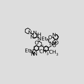 CC[C@@H]1CN(Cc2cc([C@H](CC(=O)Nc3cnc(N4CCCCC4)nc3)c3ccc4c(nnn4CC)c3C)ccc2C)S(=O)(=O)c2cccnc2O1